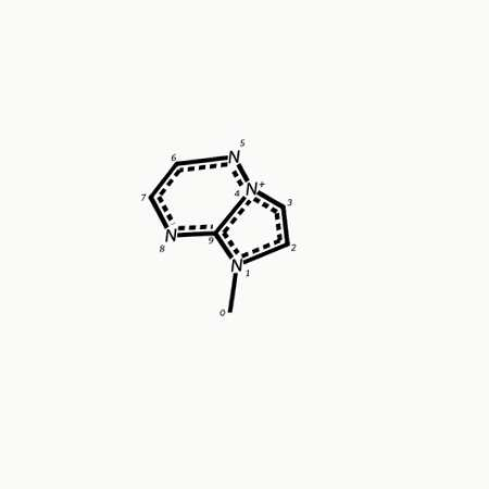 Cn1cc[n+]2nccnc12